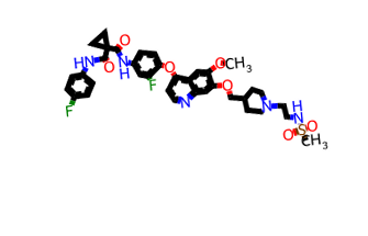 COc1cc2c(Oc3ccc(NC(=O)C4(C(=O)Nc5ccc(F)cc5)CC4)cc3F)ccnc2cc1OCC1CCN(CCNS(C)(=O)=O)CC1